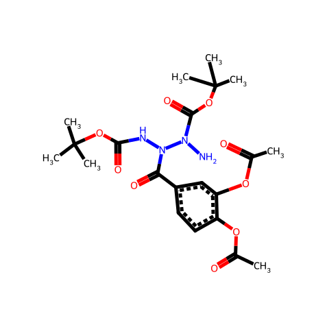 CC(=O)Oc1ccc(C(=O)N(NC(=O)OC(C)(C)C)N(N)C(=O)OC(C)(C)C)cc1OC(C)=O